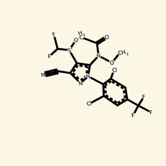 CON(C(C)=O)c1c([S+]([O-])C(F)F)c(C#N)nn1-c1c(Cl)cc(C(F)(F)F)cc1Cl